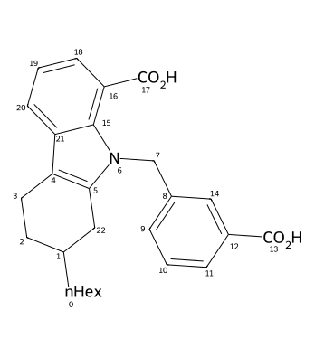 CCCCCCC1CCc2c(n(Cc3cccc(C(=O)O)c3)c3c(C(=O)O)cccc23)C1